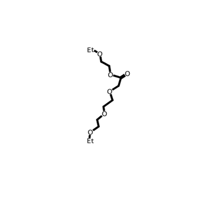 CCOCCOCCOCC(=O)OCCOCC